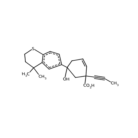 CC#CC1(C(=O)O)C=CCC(O)(c2ccc3c(c2)C(C)(C)CCS3)C1